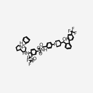 O=C(NS(=O)(=O)c1ccc(NC(CSc2ccccc2)CC2CCCN2)c(S(=O)(=O)C(F)(F)F)c1)c1ccc(N2CCC([C@@H](O)c3ccccc3-c3ccc(C(F)(F)F)cc3)CC2)cc1